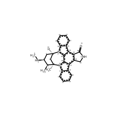 CN[C@H]1C[C@@H]2C[C@](C)([C@H]1C)n1c3ccccc3c3c4c(c5c6ccccc6n2c5c31)C(=O)NC4